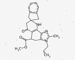 C=CCn1c(C)nc2c1CC(C(=O)OC)C1=C2NC2(CC1=O)Cc1ccccc1C2